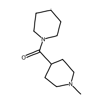 CN1CCC(C(=O)N2CC[CH]CC2)CC1